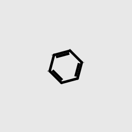 [c]1[c][c]cc[c]1